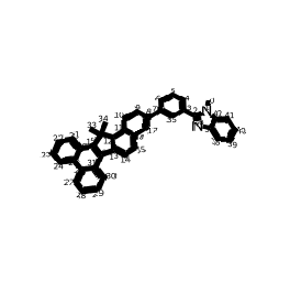 Cn1c(-c2cccc(-c3ccc4c5c(ccc4c3)-c3c(c4ccccc4c4ccccc34)C5(C)C)c2)nc2ccccc21